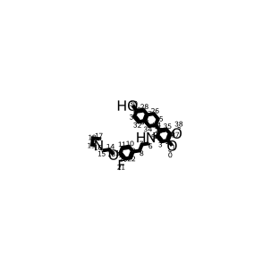 COc1cc(NCCCc2ccc(OCCN3CCC3)c(F)c2)c(C2CCc3cc(O)ccc3C2)cc1OC